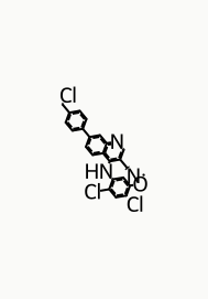 COc1cc(Nc2c(C#N)cnc3cc(-c4ccc(CCl)cc4)ccc23)c(Cl)cc1Cl